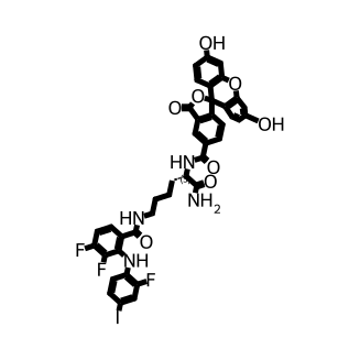 NC(=O)[C@H](CCCCNC(=O)c1ccc(F)c(F)c1Nc1ccc(I)cc1F)NC(=O)c1ccc2c(c1)C(=O)OC21c2ccc(O)cc2Oc2cc(O)ccc21